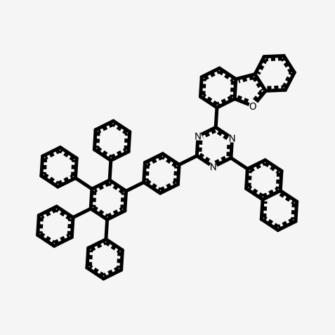 c1ccc(-c2cc(-c3ccc(-c4nc(-c5ccc6ccccc6c5)nc(-c5cccc6c5oc5ccccc56)n4)cc3)c(-c3ccccc3)c(-c3ccccc3)c2-c2ccccc2)cc1